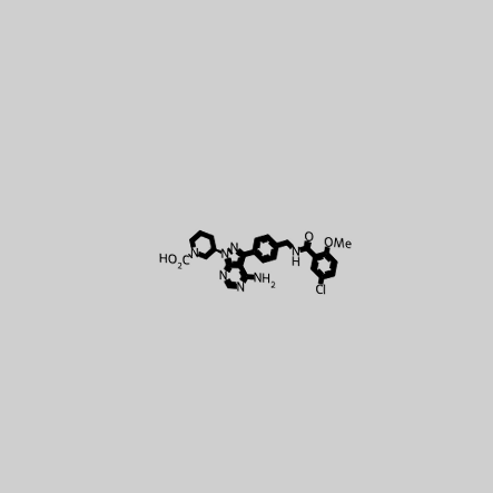 COc1ccc(Cl)cc1C(=O)NCc1ccc(-c2nn([C@@H]3CCCN(C(=O)O)C3)c3ncnc(N)c23)cc1